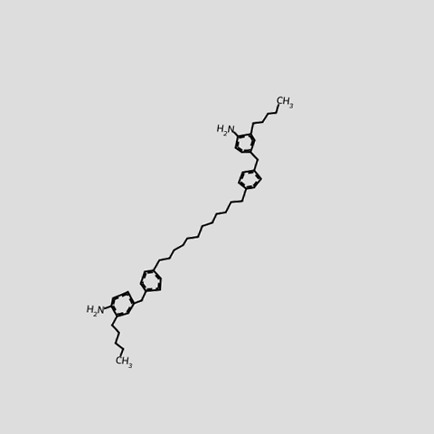 CCCCCc1cc(Cc2ccc(CCCCCCCCCCCCc3ccc(Cc4ccc(N)c(CCCCC)c4)cc3)cc2)ccc1N